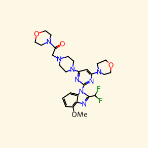 COc1cccc2c1nc(C(F)F)n2-c1nc(N2CCOCC2)cc(N2CCN(CC(=O)N3CCOCC3)CC2)n1